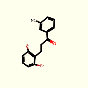 N#Cc1cccc(C(=O)CCc2c(Br)cccc2Br)c1